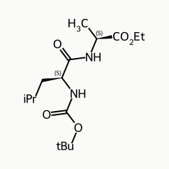 CCOC(=O)[C@H](C)NC(=O)[C@H](CC(C)C)NC(=O)OC(C)(C)C